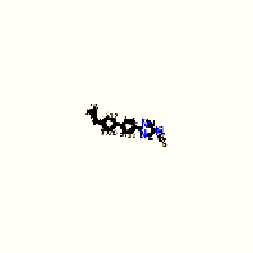 S=C=Nc1cnc(-c2ccc(-c3ccc(CC4CC4)cc3)cc2)nc1